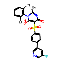 CCCCc1nc(=O)c(S(=O)(=O)c2ccc(-c3cncc(F)c3)cc2)c(O)n1-c1c(C#N)cccc1CC